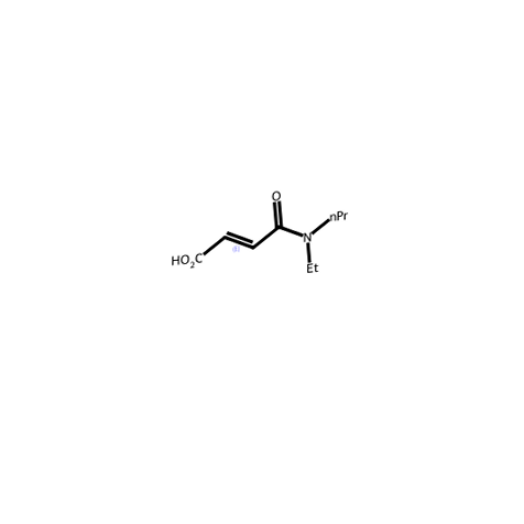 CCCN(CC)C(=O)/C=C/C(=O)O